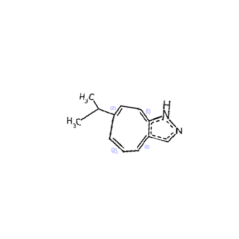 CC(C)C1=C/C=c2/[nH]nc/c2=C/C=C\1